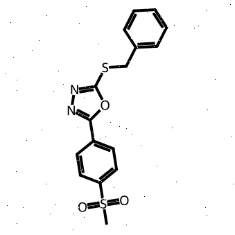 CS(=O)(=O)c1ccc(-c2nnc(SCc3ccccc3)o2)cc1